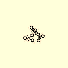 c1ccc(-c2nc3ccccc3nc2-c2ccc(-n3c4cc5c(cc4c4ccc6c7ccccc7oc6c43)c3ccccc3n5-c3ccccc3)cc2)cc1